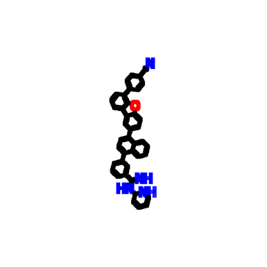 N#Cc1ccc(-c2cccc3c2oc2ccc(-c4ccc(-c5cccc(C(=N)NC6C=C=C=CN6)c5)c5ccccc45)cc23)cc1